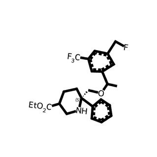 CCOC(=O)C1CC[C@@](COC(C)c2cc(CF)cc(C(F)(F)F)c2)(c2ccccc2)NC1